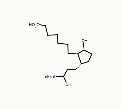 CCCCCC(O)CC[C@H]1CC[C@H](O)[C@@H]1CCCCCCC(=O)O